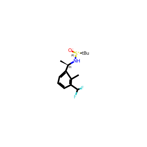 Cc1c(C(F)F)cccc1[C@@H](C)N[S@@+]([O-])C(C)(C)C